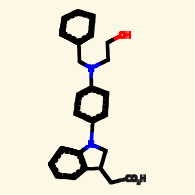 O=C(O)CC1CN(c2ccc(N(CCO)Cc3ccccc3)cc2)c2ccccc21